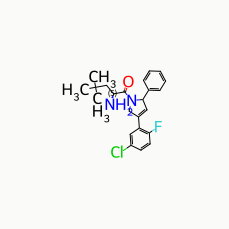 CC(C)(C)C[C@H](N)C(=O)N1CC(c2cc(Cl)ccc2F)=CC1c1ccccc1